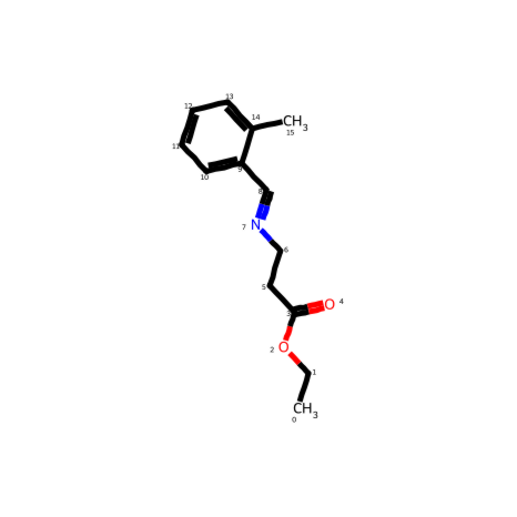 CCOC(=O)CCN=Cc1ccccc1C